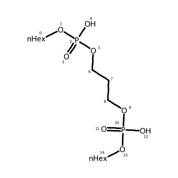 CCCCCCOP(=O)(O)OCCCOP(=O)(O)OCCCCCC